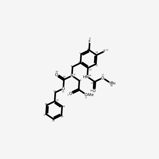 COC(=O)CN(Cc1cc(F)c(F)cc1NC(=O)OC(C)(C)C)C(=O)OCc1ccccc1